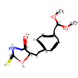 CCOC(OCC)c1ccc(CC2OC(=S)NC2=O)cc1